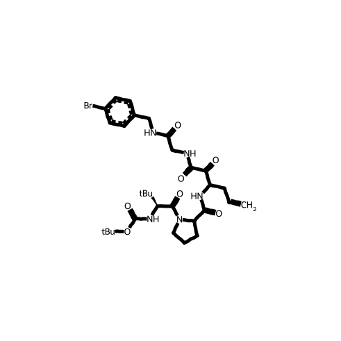 C=CCC(NC(=O)C1CCCN1C(=O)[C@@H](NC(=O)OC(C)(C)C)C(C)(C)C)C(=O)C(=O)NCC(=O)NCc1ccc(Br)cc1